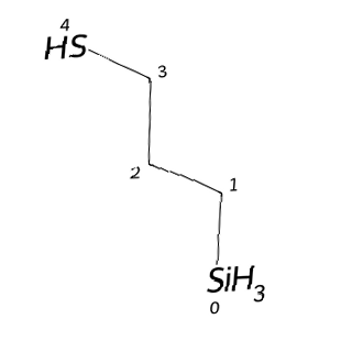 [SiH3]CCCS